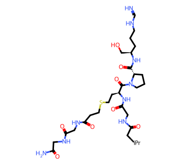 CC(C)CC(=O)NCC(=O)N[C@@H](CCSCCC(=O)NCC(=O)NCC(N)=O)C(=O)N1CCC[C@H]1C(=O)N[C@@H](CO)CCCNC=N